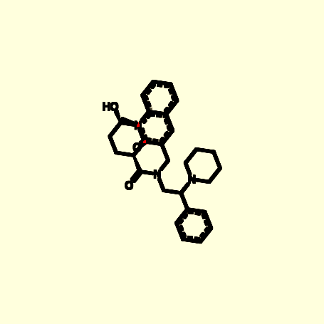 Cn1c(=O)c(CN(CC(c2ccccc2)N2CCCCC2)C(=O)[C@H]2CC[C@@H](O)CC2)cc2ccccc21